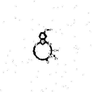 CC(C)C[C@@H]1NC(=O)CCCC=CCO[C@@H]2C[C@H](NC[C@H]1O)c1cc(OC(C)C)ccc12